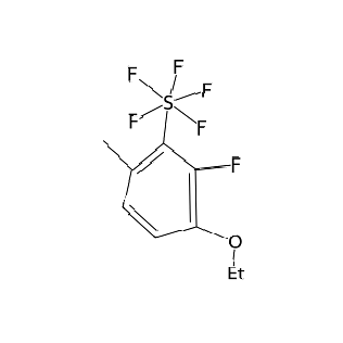 CCOc1ccc(C)c(S(F)(F)(F)(F)F)c1F